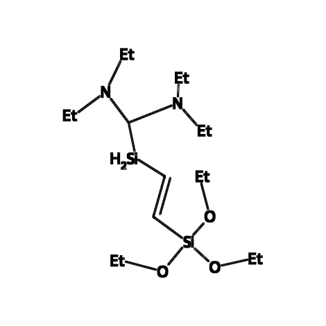 CCO[Si](C=C[SiH2]C(N(CC)CC)N(CC)CC)(OCC)OCC